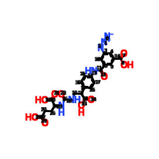 [N-]=[N+]=Nc1cc(C(=O)O)cc(C(=O)Nc2ccc([C@H](CNC(=O)N[C@@H](CCC(=O)O)C(=O)O)C(=O)O)cc2)c1